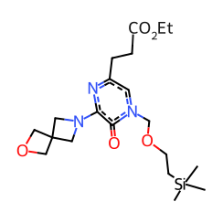 CCOC(=O)CCc1cn(COCC[Si](C)(C)C)c(=O)c(N2CC3(COC3)C2)n1